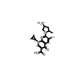 CC1CC(N)CN1c1nc2c(cc1F)c(=O)c(C(=O)O)cn2C1CC1